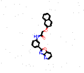 O=C(COc1ccc2ccccc2c1)Nc1cccc(-c2nc3ncccc3o2)c1